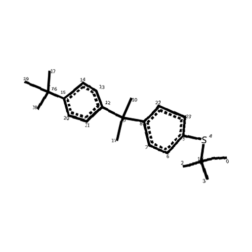 CC(C)(C)Sc1ccc(C(C)(C)c2ccc(C(C)(C)C)cc2)cc1